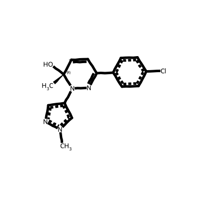 Cn1cc(N2N=C(c3ccc(Cl)cc3)C=[C][C@@]2(C)O)cn1